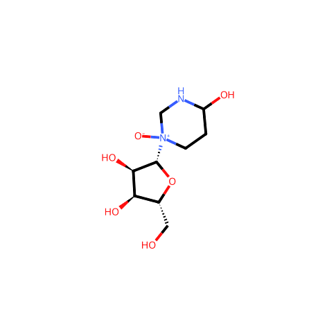 [O-][N+]1([C@@H]2O[C@H](CO)[C@@H](O)[C@H]2O)CCC(O)NC1